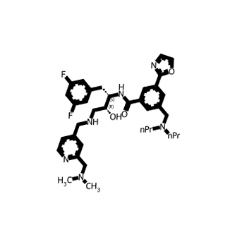 CCCN(CCC)Cc1cc(C(=O)N[C@@H](Cc2cc(F)cc(F)c2)[C@H](O)CNCc2ccnc(CN(C)C)c2)cc(-c2ncco2)c1